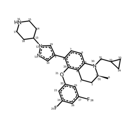 C[C@H]1CCc2c(ccc(-c3cnn(C4CCNCC4)c3)c2Oc2cc(F)cc(F)c2)N1[C]C1CC1